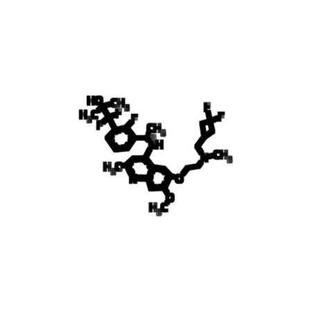 COc1cc2nc(C)cc(N[C@H](C)c3cccc(C(F)(F)C(C)(C)O)c3F)c2cc1OCCN(C)CC1CC(F)(F)C1